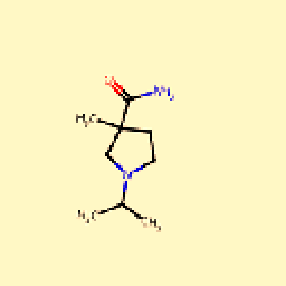 CC(C)N1CCC(C)(C(N)=O)C1